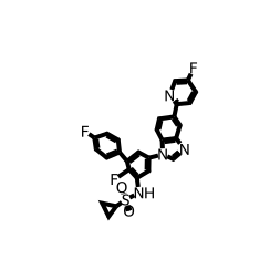 O=S(=O)(Nc1cc(-n2cnc3cc(-c4ccc(F)cn4)ccc32)cc(-c2ccc(F)cc2)c1F)C1CC1